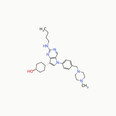 CCCCNc1ncc2c(n1)c([C@H]1CC[C@H](O)CC1)cn2-c1ccc(CN2CCN(C)CC2)cc1